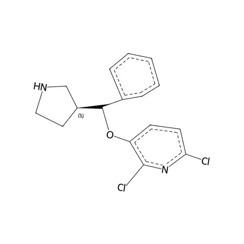 Clc1ccc(OC(c2ccccc2)[C@H]2CCNC2)c(Cl)n1